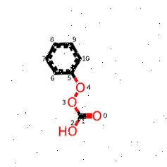 O=C(O)OOc1ccccc1